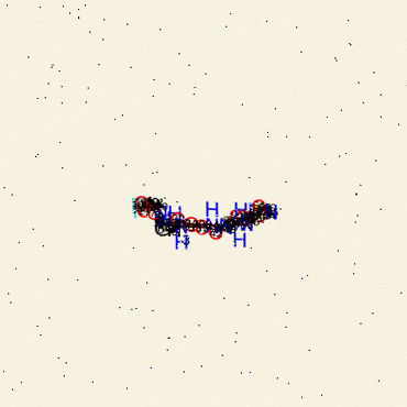 Cc1ccc(NC(=O)C2(c3ccc4c(c3)OC(F)(F)O4)CC2)nc1-c1cccc(C(=O)NCCOCCOCCNC(=O)CCN2CCC(C(=O)Nc3nc4ccc(NS(=O)(=O)c5ccncc5)cc4o3)CC2)c1